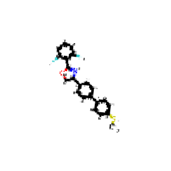 Fc1cccc(F)c1C1=NC(c2ccc(-c3ccc(SC(F)(F)F)cc3)cc2)CO1